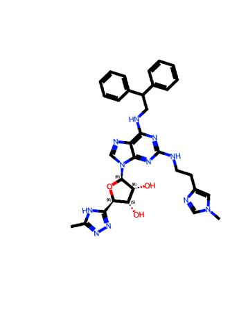 Cc1nnc([C@H]2O[C@@H](n3cnc4c(NCC(c5ccccc5)c5ccccc5)nc(NCCc5cn(C)cn5)nc43)[C@H](O)[C@@H]2O)[nH]1